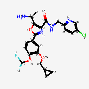 C[C@H](N)c1oc(-c2ccc(OC(F)F)c(OCC3CC3)c2)nc1C(=O)NCc1ccc(Cl)cn1